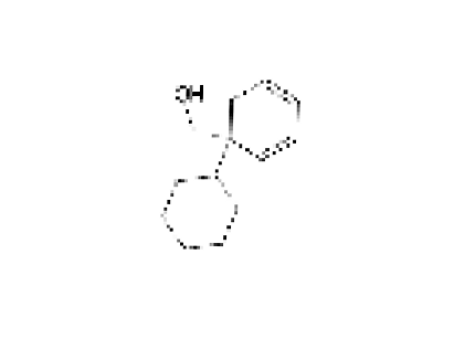 OC[C@@]1(C2CCCCC2)C=CC=CC1